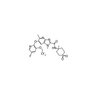 Cc1nc2nc(C(=O)NC3(C)CCS(=O)(=O)CC3)n(C)c2cc1Oc1ncc(F)cc1OCC(F)(F)F